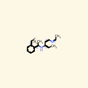 C\C=N/C=C\C(=C/C)N/C(C)=c1\cccc\c1=C\C